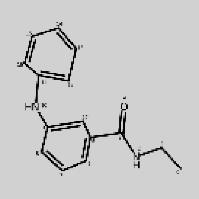 CCNC(=O)c1c[c]cc(Nc2ccccc2)c1